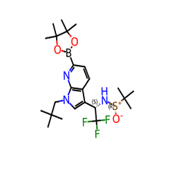 CC(C)(C)Cn1cc([C@H](N[S@@+]([O-])C(C)(C)C)C(F)(F)F)c2ccc(B3OC(C)(C)C(C)(C)O3)nc21